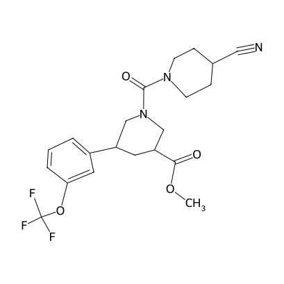 COC(=O)C1CC(c2cccc(OC(F)(F)F)c2)CN(C(=O)N2CCC(C#N)CC2)C1